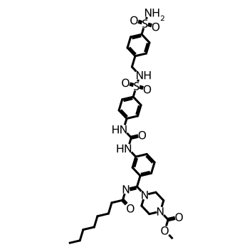 CCCCCCCC(=O)/N=C(/c1cccc(NC(=O)Nc2ccc(S(=O)(=O)NCc3ccc(S(N)(=O)=O)cc3)cc2)c1)N1CCN(C(=O)OC)CC1